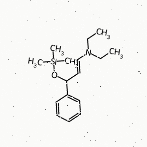 CCN(C=CC(O[Si](C)(C)C)c1ccccc1)CC